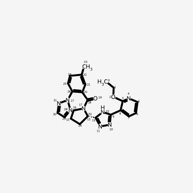 CCOc1ncccc1-c1nnc([C@@H]2CCCN2C(=O)c2cc(C)ccc2-n2nccn2)[nH]1